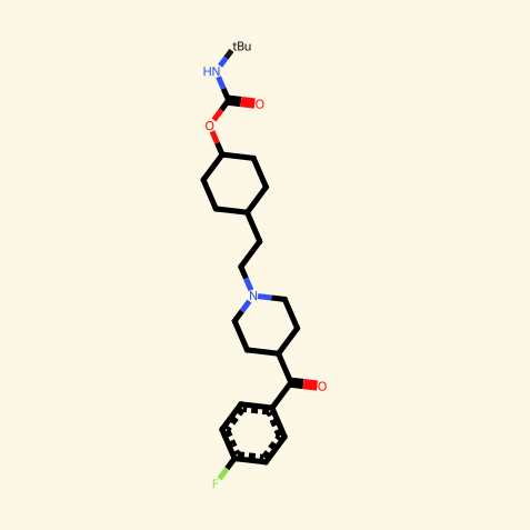 CC(C)(C)NC(=O)OC1CCC(CCN2CCC(C(=O)c3ccc(F)cc3)CC2)CC1